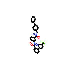 O=C(NCc1ccc(-c2ccccc2)cc1)c1cccc(NC(=O)c2ccccc2-c2ccc(C(F)(F)F)cc2)c1